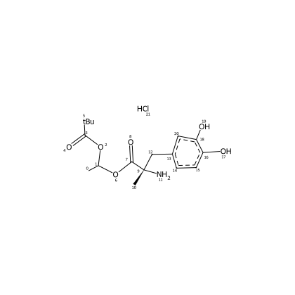 CC(OC(=O)C(C)(C)C)OC(=O)[C@@](C)(N)Cc1ccc(O)c(O)c1.Cl